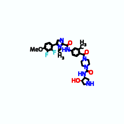 COc1ccc(-c2cnc(C(=O)Nc3ccc(C(=O)N4CCN(C(=O)N[C@H]5CNC[C@@H]5O)CC4)c(C)c3)n2C)c(F)c1F